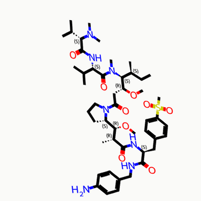 CC[C@H](C)[C@@H]([C@@H](CC(=O)N1CCC[C@H]1[C@H](OC)[C@@H](C)C(=O)N[C@@H](Cc1ccc(S(C)(=O)=O)cc1)C(=O)NCc1ccc(N)cc1)OC)N(C)C(=O)[C@@H](NC(=O)[C@H](C(C)C)N(C)C)C(C)C